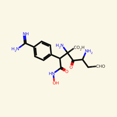 N=C(N)c1ccc(C(C(=O)NO)C(N)(C(=O)O)C(=O)C(N)CC=O)cc1